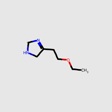 CCOCCC1=N[C]NC1